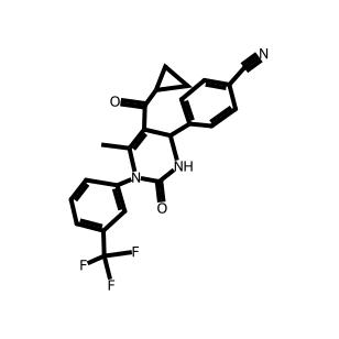 CC1=C(C(=O)C2CC2)C(c2ccc(C#N)cc2)NC(=O)N1c1cccc(C(F)(F)F)c1